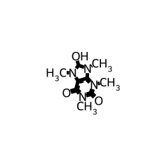 CN1c2c(n(C)c(=O)n(C)c2=O)N(C)C1O